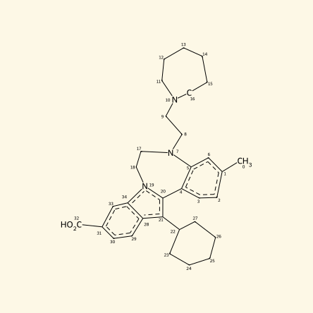 Cc1ccc2c(c1)N(CCN1CCCCCC1)CCn1c-2c(C2CCCCC2)c2ccc(C(=O)O)cc21